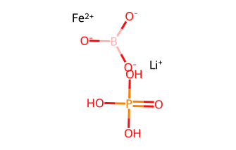 O=P(O)(O)O.[Fe+2].[Li+].[O-]B([O-])[O-]